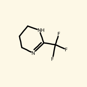 FC(F)(F)C1=NCCCN1